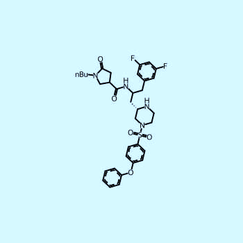 CCCCN1CC(C(=O)NC(Cc2cc(F)cc(F)c2)C[C@H]2CN(S(=O)(=O)c3ccc(Oc4ccccc4)cc3)CCN2)CC1=O